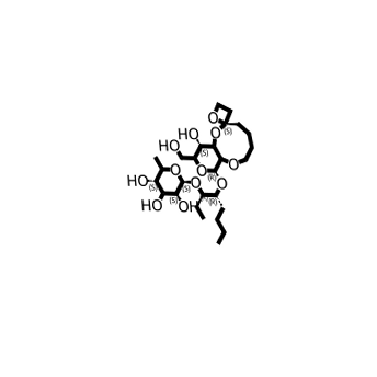 CCCC[C@@H](O[C@@H]1OC(CO)[C@H](O)C2O[C@@]3(CCCCOC21)CCO3)[C@@H](CC)O[C@@H]1OC(C)[C@@H](O)C(O)[C@@H]1O